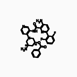 Nc1ccc(-c2c(F)cccc2F)nc1C(=O)Nc1cnccc1N1C[C@@H](N)C[C@H](OC(=O)c2ccccc2)C1